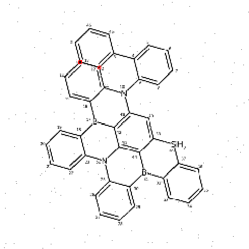 c1ccc(-c2ccccc2N2c3ccccc3B3c4ccccc4N4c5ccccc5B5c6ccccc6[SiH2]c6cc2c3c4c65)cc1